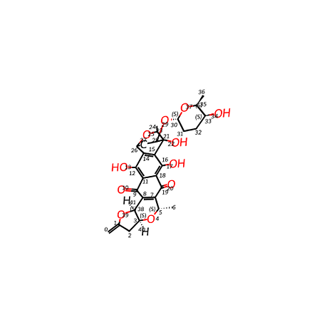 C=C1C[C@@H]2O[C@@H](C)C3=C(C(=O)c4c(O)c5c(c(O)c4C3=O)C3(O)C(C)OC5CC3O[C@H]3CC[C@H](O)[C@H](C)O3)[C@@H]2O1